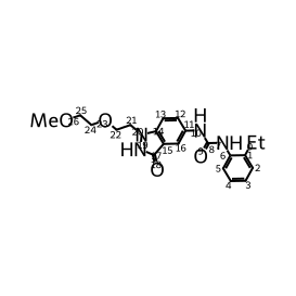 CCc1ccccc1NC(=O)Nc1ccc2c(c1)c(=O)[nH]n2CCOCCOC